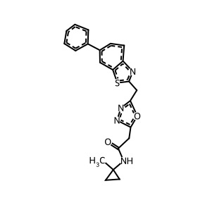 CC1(NC(=O)Cc2nnc(Cc3nc4ccc(-c5ccccc5)cc4s3)o2)CC1